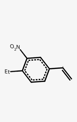 C=[C]c1ccc(CC)c([N+](=O)[O-])c1